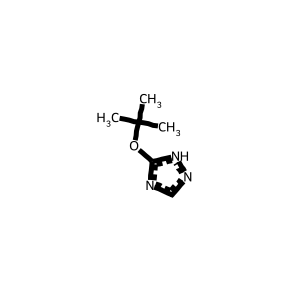 CC(C)(C)Oc1ncn[nH]1